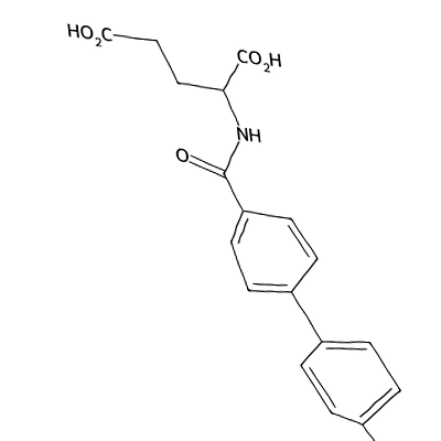 CC(=O)Nc1ccc(-c2ccc(C(=O)NC(CCC(=O)O)C(=O)O)cc2)cc1